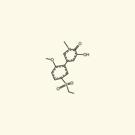 CCS(=O)(=O)c1ccc(OC)c(-c2cc(O)c(=O)n(C)c2)c1